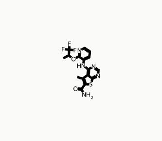 Cc1c(C(N)=O)sc2ncnc(Nc3cccnc3OC(C)C(F)(F)F)c12